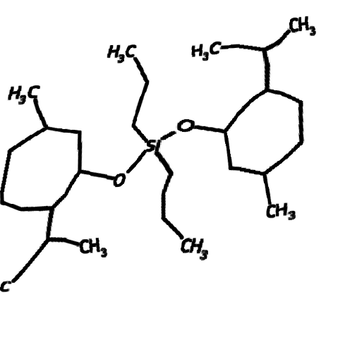 CCC[Si](CCC)(OC1CC(C)CCC1C(C)C)OC1CC(C)CCC1C(C)C